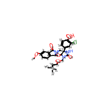 COc1ccc2c(c1)C(=O)N(C[C@@]1(c3ccc(O)c(Cl)c3)NC(=O)N(COCC[Si](C)(C)C)C1=O)C2